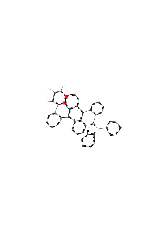 Bc1c(B)c(B)c(-c2ccccc2-c2c3ccccc3c(-c3ccccc3-c3nc4ccccc4n3-c3ccccc3)c3ccccc23)c(B)c1B